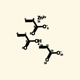 C=CC(=O)O.C=CC(=O)[O-].C=CC(=O)[O-].[Zn+2]